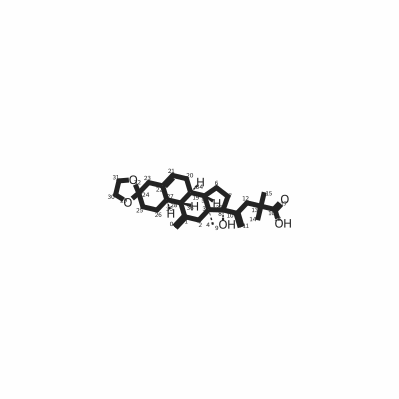 C=C1C[C@@]2(C)[C@@H](CC[C@@]2(O)C(=C)CC(C)(C)C(=O)O)[C@@H]2CC=C3CC4(CC[C@@H]3[C@@H]12)OCCO4